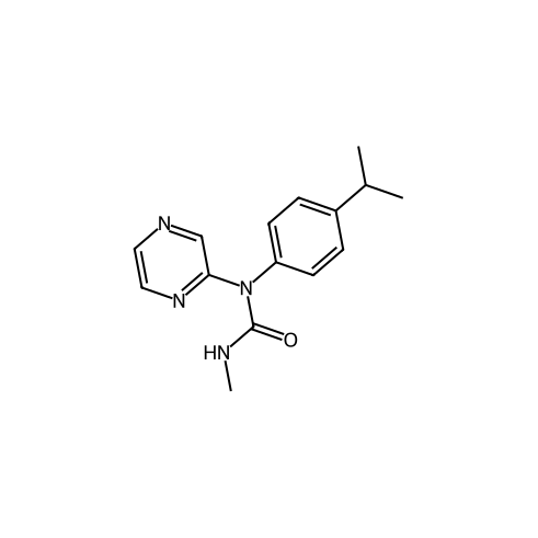 CNC(=O)N(c1ccc(C(C)C)cc1)c1cnccn1